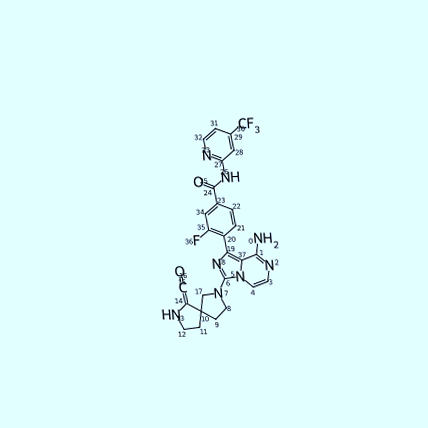 Nc1nccn2c(N3CCC4(CCNC4=C=O)C3)nc(-c3ccc(C(=O)Nc4cc(C(F)(F)F)ccn4)cc3F)c12